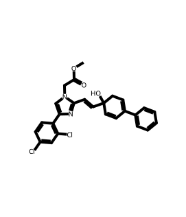 COC(=O)Cn1cc(-c2ccc(Cl)cc2Cl)nc1C=CC1(O)C=CC(c2ccccc2)=CC1